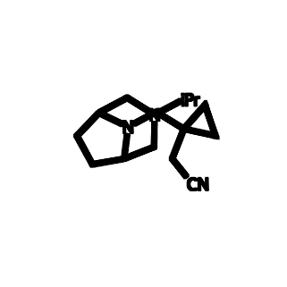 CC(C)N1CC2CCC(C1)N2CC1(CC#N)CC1